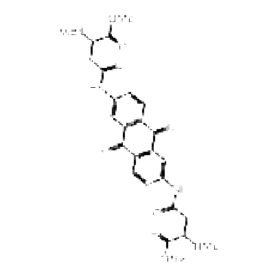 CNC(CC(=O)Nc1ccc2c(c1)C(=O)c1ccc(NC(=O)CC(NC)C(=O)OC)cc1C2=O)C(=O)OC